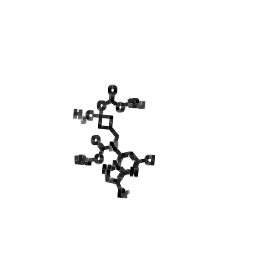 CC(C)(C)OC(=O)OC1(C)CC(CN(C(=O)OC(C)(C)C)c2cc(Cl)nc3c(Br)cnn23)C1